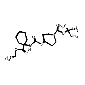 CCOC(=O)C1(NC(=O)OC2CCN(C(=O)OC(C)(C)C)CC2)CCCCC1